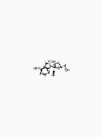 N#C[C@@]1(c2scc3c(N)ncnc23)O[C@H](CO)C[C@H]1O